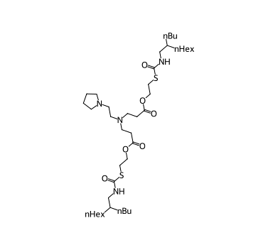 CCCCCCC(CCCC)CNC(=O)SCCOC(=O)CCN(CCC(=O)OCCSC(=O)NCC(CCCC)CCCCCC)CCN1CCCC1